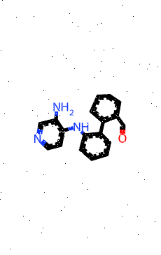 Nc1cnccc1Nc1ccccc1-c1ccccc1C=O